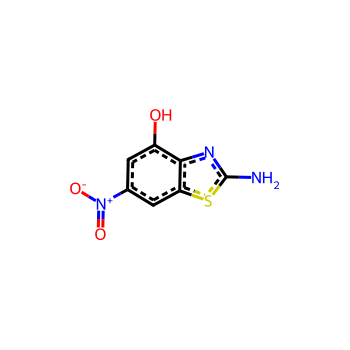 Nc1nc2c(O)cc([N+](=O)[O-])cc2s1